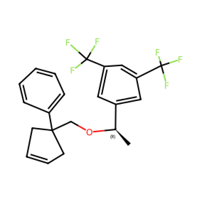 C[C@@H](OCC1(c2ccccc2)CC=CC1)c1cc(C(F)(F)F)cc(C(F)(F)F)c1